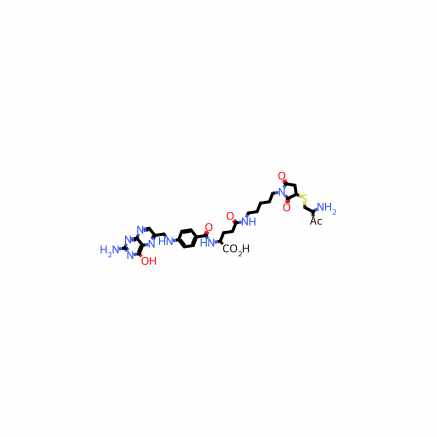 CC(=O)C(N)CSC1CC(=O)N(CCCCCNC(=O)CCC(NC(=O)c2ccc(NCc3cnc4nc(N)nc(O)c4n3)cc2)C(=O)O)C1=O